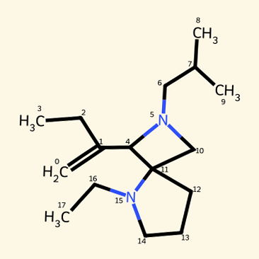 C=C(CC)C1N(CC(C)C)CC12CCCN2CC